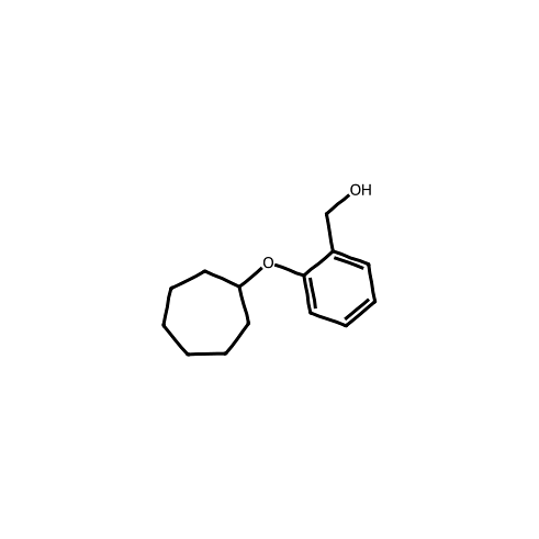 OCc1ccccc1OC1CCCCCC1